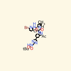 CC(=O)c1nn(CC(=O)N2[C@H](C(=O)Nc3nc(Br)ccc3C)C[C@@]3(C)C[C@@H]23)c2ccc(-c3cnc(CNC(=O)OC(C)(C)C)nc3)cc12